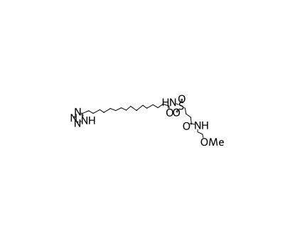 COCCNC(=O)CCCS(=O)(=O)NC(=O)CCCCCCCCCCCCCCCc1nnn[nH]1